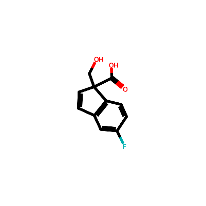 O=C(O)C1(CO)C=Cc2cc(F)ccc21